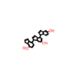 Oc1ccc2c(c1)C=CC2c1cc(O)cc2c1C=CC2c1ccc(O)c2c1C=CC2